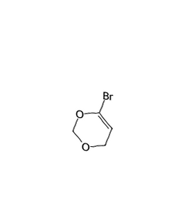 BrC1=CCOCO1